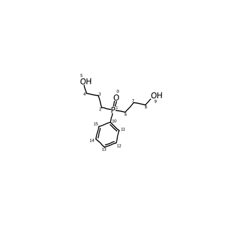 O=P(CCCO)(CCCO)c1ccccc1